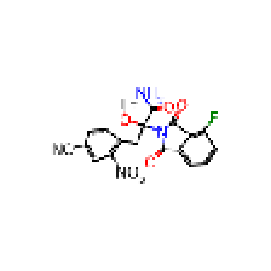 CCOC(Cc1ccc(C#N)cc1[N+](=O)[O-])(C(N)=O)N1C(=O)c2cccc(F)c2C1=O